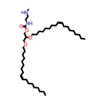 CCCCCCCC/C=C\CCCCCCCCOCC(COC(=O)NCCNC)OCCCCCCCC/C=C\CCCCCCCC